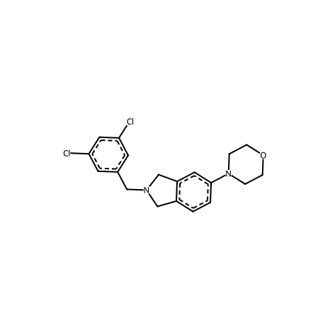 Clc1cc(Cl)cc(CN2Cc3ccc(N4CCOCC4)cc3C2)c1